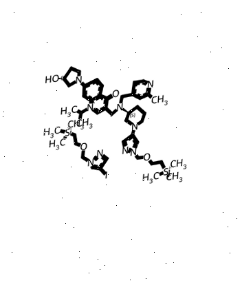 C[Si](C)(C)CCOCn1cc(I)cn1.Cc1cc(CN(Cc2cn(C(C)C)c3cc(N4CC[C@@H](O)C4)ccc3c2=O)[C@H]2CCCN(c3cnn(COCC[Si](C)(C)C)c3)C2)ccn1